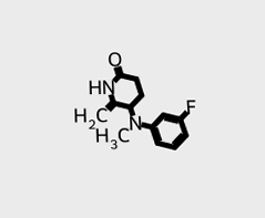 C=C1NC(=O)CCC1N(C)c1cccc(F)c1